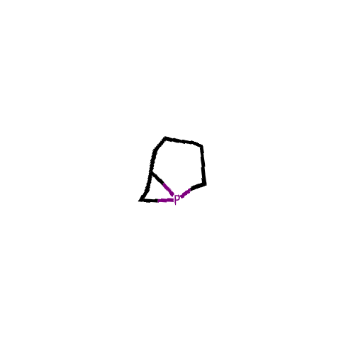 C1CC2CP2C1